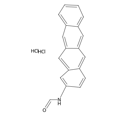 Cl.Cl.O=CNc1ccc2cc3cc4ccccc4cc3cc2c1